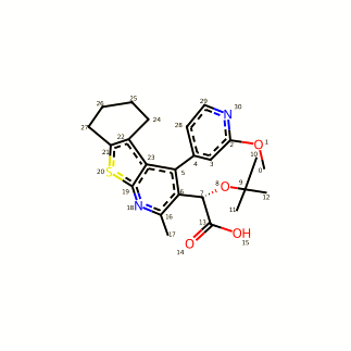 COc1cc(-c2c([C@H](OC(C)(C)C)C(=O)O)c(C)nc3sc4c(c23)CCCC4)ccn1